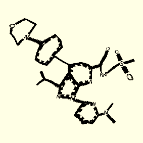 CC(C)c1nn(-c2cccc(N(C)C)n2)c2nc(C(=O)NS(C)(=O)=O)cc(-c3ccc(N4CCOCC4)cc3)c12